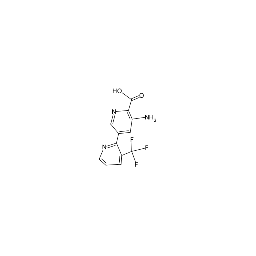 Nc1cc(-c2ncccc2C(F)(F)F)cnc1C(=O)O